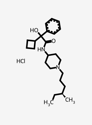 CC[C@H](C)CCCN1CCC(NC(=O)C(O)(c2ccccc2)C2CCC2)CC1.Cl